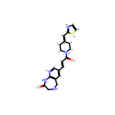 O=C1CNCc2cc(/C=C/C(=O)N3CCC(=Cc4nccs4)CC3)cnc2N1